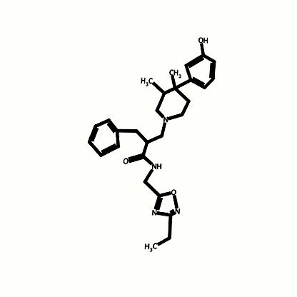 CCc1noc(CNC(=O)C(Cc2ccccc2)CN2CCC(C)(c3cccc(O)c3)C(C)C2)n1